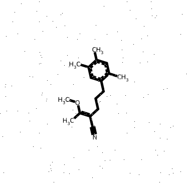 COC(C)=C(C#N)CCCc1cc(C)c(C)cc1C